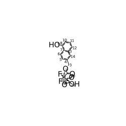 O=C(OCc1ccc2c(O)cccc2c1)C(F)(F)S(=O)(=O)O